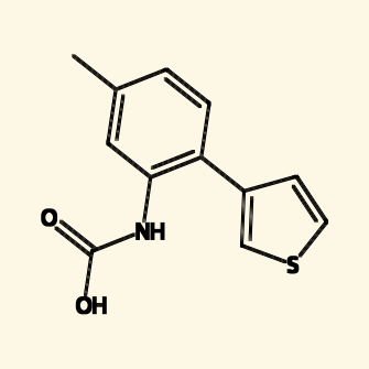 Cc1ccc(-c2ccsc2)c(NC(=O)O)c1